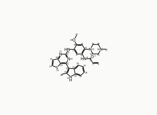 C=CC(=O)Nc1cc(Nc2nc(-c3c(C)[nH]c4ccccc34)c3sccc3n2)c(OC)cc1N1CCN(C)CC1